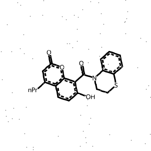 CCCc1cc(=O)oc2c(C(=O)N3CCSc4ccccc43)c(O)ccc12